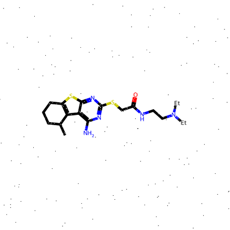 CCN(CC)CCNC(=O)CSc1nc(N)c2c3c(sc2n1)CCCC3C